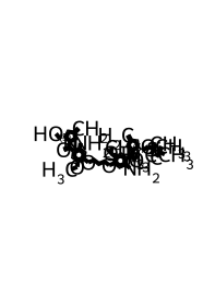 C=C1C[C@@H](CO)N(C(=O)c2cc(OC)c(OCCCOc3cc(N)c(C(=O)N4CC(=C)C[C@H]4CO[Si](C)(C)C(C)(C)C)cc3OC)cc2N)C1